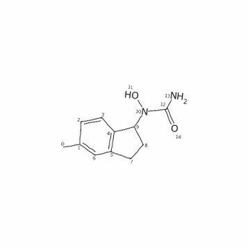 Cc1ccc2c(c1)CCC2N(O)C(N)=O